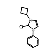 ClC1N(c2ccccc2)C=CN1C1CCC1